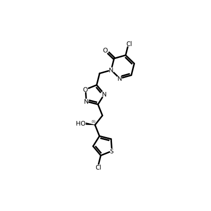 O=c1c(Cl)ccnn1Cc1nc(C[C@H](O)c2csc(Cl)c2)no1